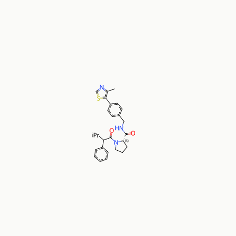 Cc1ncsc1-c1ccc(CNC(=O)[C@@H]2CCCN2C(=O)C(c2ccccc2)C(C)C)cc1